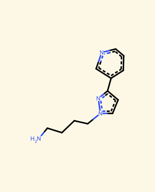 NCCCCn1ccc(-c2cccnc2)n1